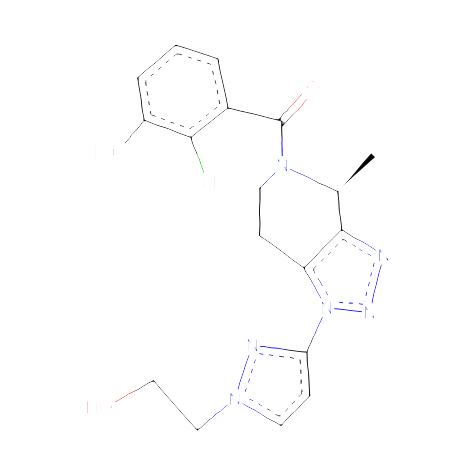 C[C@H]1c2nnn(-c3ccn(CCO)n3)c2CCN1C(=O)c1cccc(C(F)(F)F)c1Cl